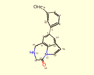 O=Cc1cccc(-c2cc3c4c(ccn4C(=O)CNC3)c2)c1